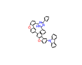 c1ccc(C2=NC(c3cccc4oc5ccc(-c6ccc7c(c6)oc6ccc(-n8c9ccccc9c9ccccc98)cc67)cc5c34)NC(c3ccccc3)=N2)cc1